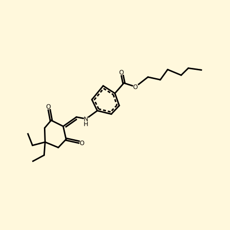 CCCCCCOC(=O)c1ccc(NC=C2C(=O)CC(CC)(CC)CC2=O)cc1